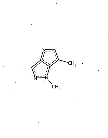 Cc1csc2cnn(C)c12